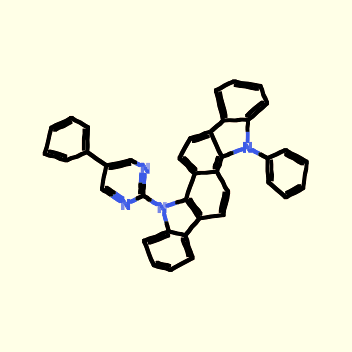 c1ccc(-c2cnc(-n3c4ccccc4c4ccc5c(ccc6c7ccccc7n(-c7ccccc7)c65)c43)nc2)cc1